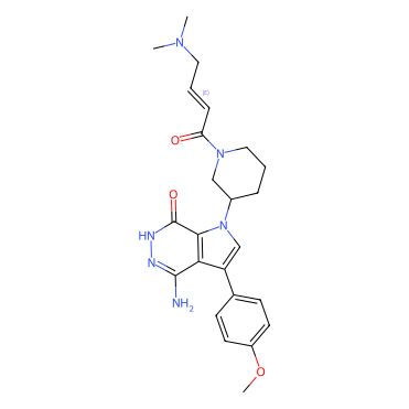 COc1ccc(-c2cn(C3CCCN(C(=O)/C=C/CN(C)C)C3)c3c(=O)[nH]nc(N)c23)cc1